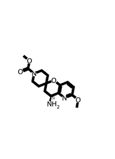 COC(=O)N1CCC2(CC1)C[C@H](N)c1nc(OC)ccc1O2